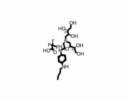 CCCCNc1ccc(NCCN(C[C@H](O)[C@H](O)CO)C[C@H](O)[C@H](O)CO)cc1.O=C(O)C(F)(F)F